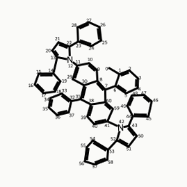 Cc1ccccc1-c1c2ccc(-n3c(-c4ccccc4)ccc3-c3ccccc3)cc2c(-c2ccccc2)c2ccc(-n3c(-c4ccccc4)ccc3-c3ccccc3)cc12